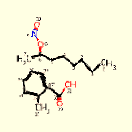 CCCCCCC(C)ON=O.Cc1ccccc1C(=O)O